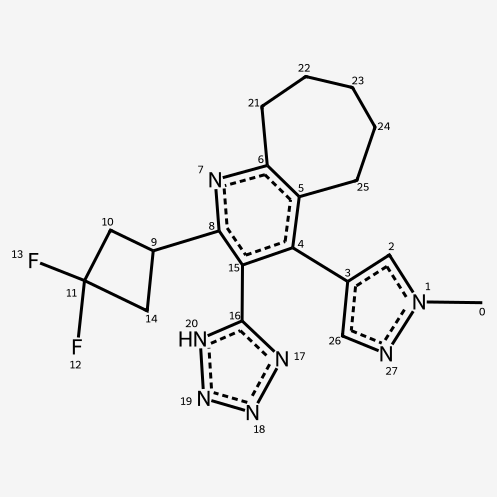 Cn1cc(-c2c3c(nc(C4CC(F)(F)C4)c2-c2nnn[nH]2)CCCCC3)cn1